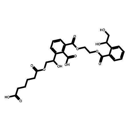 O=C(O)CCCCC(=O)OCC(O)c1cccc(C(=O)OCCOC(=O)c2ccccc2C(O)CO)c1C(=O)O